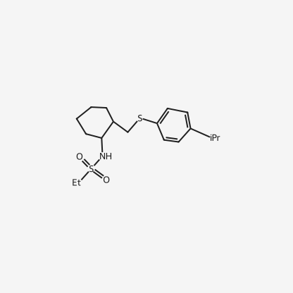 CCS(=O)(=O)NC1CCCCC1CSc1ccc(C(C)C)cc1